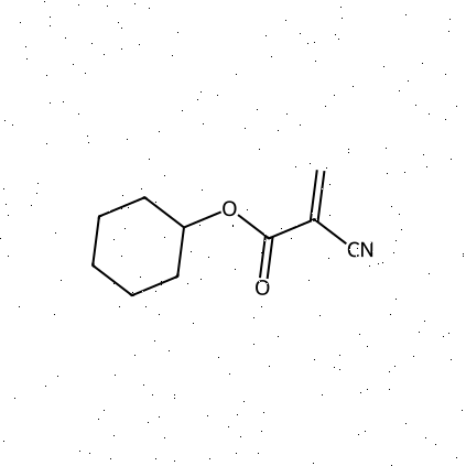 C=C(C#N)C(=O)OC1CCCCC1